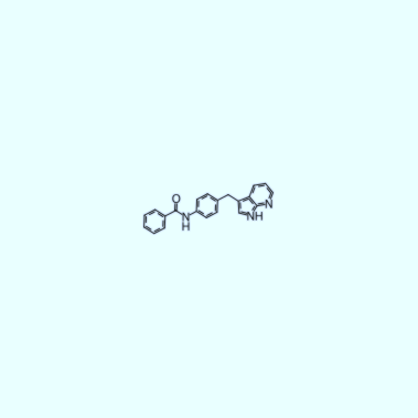 O=C(Nc1ccc(Cc2c[nH]c3ncccc23)cc1)c1ccccc1